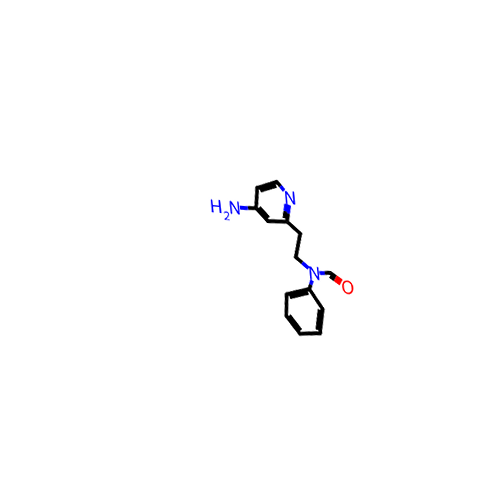 Nc1ccnc(CCN(C=O)c2ccccc2)c1